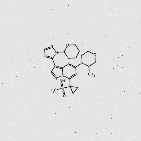 CC1COCCN1c1cc(C2(S(C)(=N)=O)CC2)n2ncc(-c3ccnn3C3CCCCO3)c2n1